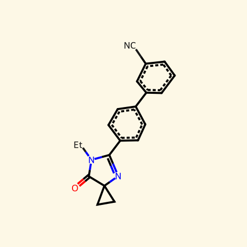 CCN1C(=O)C2(CC2)N=C1c1ccc(-c2cccc(C#N)c2)cc1